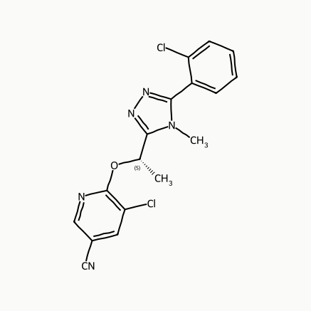 C[C@H](Oc1ncc(C#N)cc1Cl)c1nnc(-c2ccccc2Cl)n1C